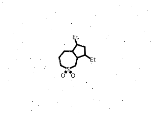 CCC1CC(CC)C2CS(=O)(=O)CCCC12